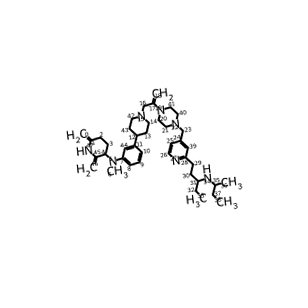 C=C1CCC(N(C)c2cccc(C3CCN(CC(=C)N4CCN(Cc5ccnc(CCC(CC)NC(C)CC)c5)CC4)CC3)c2)C(=C)N1